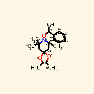 CCOC1(OCC)CC(C)(C)N(OC(C)c2ccccc2)C(C)(C)C1